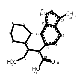 CCC(C1CCCCC1)C(C(=O)O)c1ccc2c(C)c[nH]c2c1